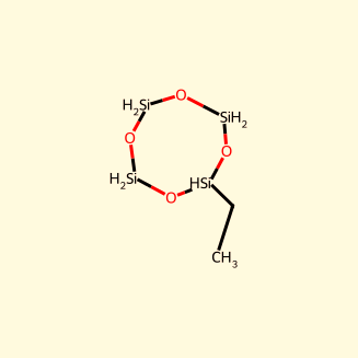 CC[SiH]1O[SiH2]O[SiH2]O[SiH2]O1